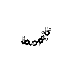 O=C1CCC(N2Cc3cc(C4CCN(Cc5ccc6[nH]ccc6c5)CC4)c(F)cc3C2=O)C(=O)N1